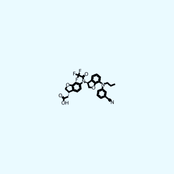 CCCN(c1cccc(C#N)c1)c1cccc2c1OC[C@H]2N(C(=O)C(F)(F)F)c1ccc2c(c1)OC[C@H]2CC(=O)O